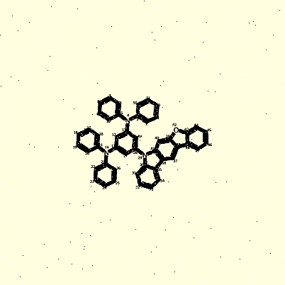 c1ccc(N(c2ccccc2)c2cc(N(c3ccccc3)c3ccccc3)cc(-n3c4ccccc4c4cc5c(cc43)oc3ccccc35)c2)cc1